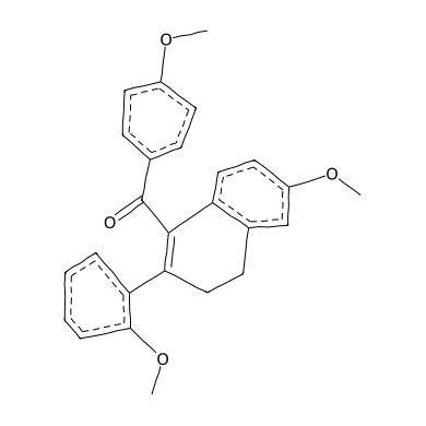 COc1ccc(C(=O)C2=C(c3ccccc3OC)CCc3cc(OC)ccc32)cc1